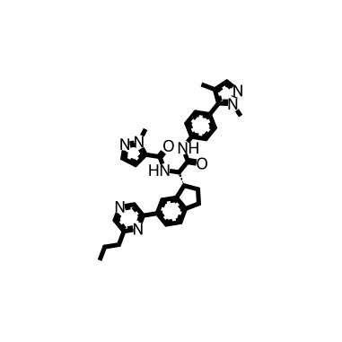 CCCc1cncc(-c2ccc3c(c2)[C@H](C(NC(=O)c2ccnn2C)C(=O)Nc2ccc(-c4c(C)cnn4C)cc2)CC3)n1